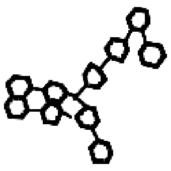 Cc1ccc(-c2cccc3cccc(-c4ccc(N(c5ccc(-c6ccccc6)cc5)c5ccc(-c6ccc(-c7ccccc7-c7ccccc7)cc6)cc5)cc4)c23)cc1